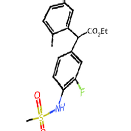 CCOC(=O)C(c1ccc(NS(C)(=O)=O)c(F)c1)c1ccccc1C